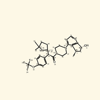 C[C@@H]1C[C@@H](O)c2ncnc(N3CCN(C(=O)[C@@H](c4ccc(OC(F)(F)F)cc4)[C@]4(C)CCC(C)(C)N4)CC3)c21